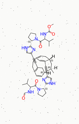 COC(=O)NC(C(=O)N1CCC[C@H]1c1nc(C#CC2=C3C=C[C@H](C2)[C@H](C)C[C@H]2CC=C(C=C2C#Cc2c[nH]c([C@@H]4CCCN4C(=O)C(NC=O)C(C)C)n2)CC3)c[nH]1)C(C)C